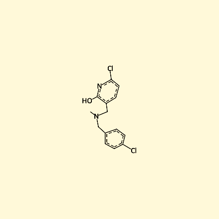 CN(Cc1ccc(Cl)cc1)Cc1ccc(Cl)nc1O